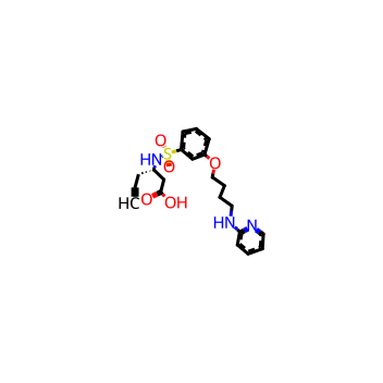 C#CC[C@@H](CC(=O)O)NS(=O)(=O)c1cccc(OCCCCNc2ccccn2)c1